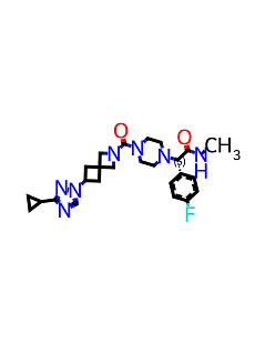 CNC(=O)[C@H](c1ccc(F)cc1)N1CCN(C(=O)N2CC3(CC(n4cnc(C5CC5)n4)C3)C2)CC1